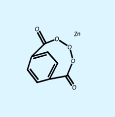 O=c1oooc(=O)c2ccc1cc2.[Zn]